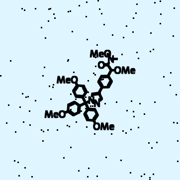 COc1ccc(C(c2ccc(OC)cc2)(c2ccc(OC)cc2)n2cc(-c3ccc(C(OC)C(=O)N(C)OC)cc3)cn2)cc1